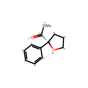 COC(=O)[C@]1(c2ccccc2)CCCO1